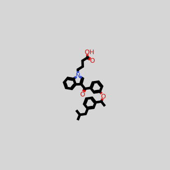 CC(C)Cc1cccc(C(C)Oc2cccc(C(=O)c3cn(CCCC(=O)O)c4ccccc34)c2)c1